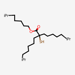 CC(C)CCCCCOC(=O)C(S)(CCCCCC(C)C)CCCCCC(C)C